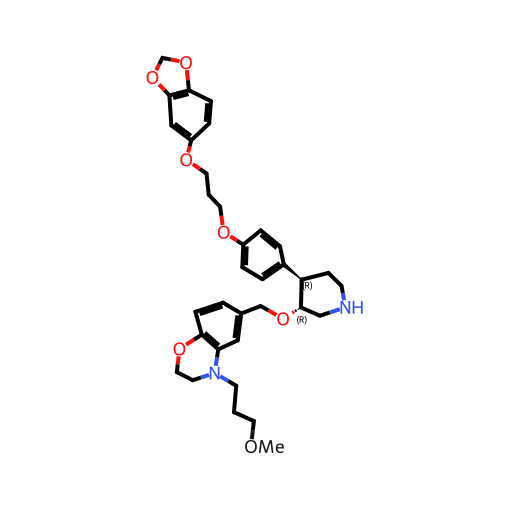 COCCCN1CCOc2ccc(CO[C@H]3CNCC[C@@H]3c3ccc(OCCCOc4ccc5c(c4)OCO5)cc3)cc21